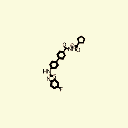 O=C(NOC(=O)C1CCCC1)c1ccc(-c2ccc(Nc3nc4ccc(F)cc4s3)cc2)cc1